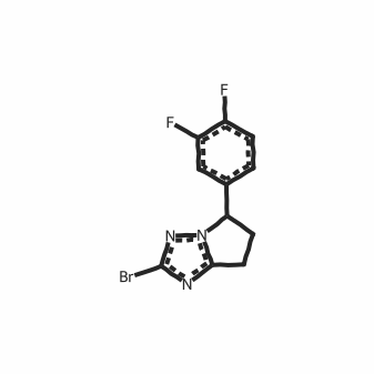 Fc1ccc(C2CCc3nc(Br)nn32)cc1F